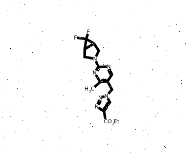 CCOC(=O)c1cn(Cc2cnc(N3CC4C(C3)C4(F)F)nc2C)nn1